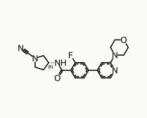 N#CN1CC[C@@H](NC(=O)c2ccc(-c3ccnc(N4CCOCC4)c3)cc2F)C1